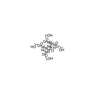 CC(O)COC(=O)NC(C)N(c1nc(Cl)nc(N(C(C)NC(=O)OCC(C)O)C(C)NC(=O)OCC(C)O)n1)C(C)NC(=O)OCC(C)O